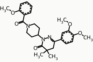 COc1ccc(C2=NN(C3CCN(C(=O)c4ccccc4OC)CC3)C(=O)C(C)(C)C2)cc1OC